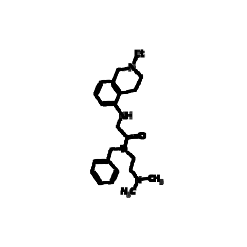 CCN1CCc2c(cccc2NCC(=O)N(CCN(C)C)Cc2ccccc2)C1